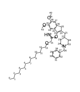 CCCCCCCCCCCCCCOCC(=N)OC1=C(CC2CCN(Cc3ccccc3)CC2)Cc2cc(OC)c(OC)cc21